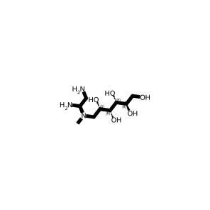 CN(C[C@H](O)[C@@H](O)[C@H](O)[C@H](O)CO)C(N)CN